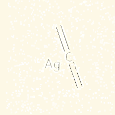 C=C=C.[Ag]